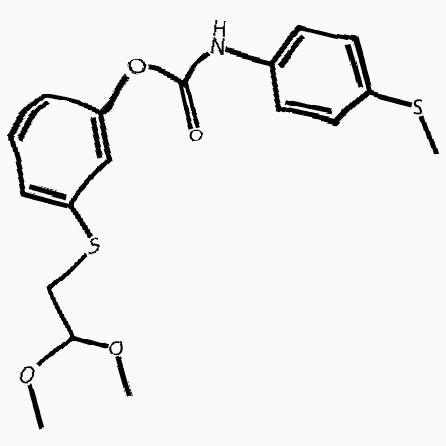 COC(CSc1cccc(OC(=O)Nc2ccc(SC)cc2)c1)OC